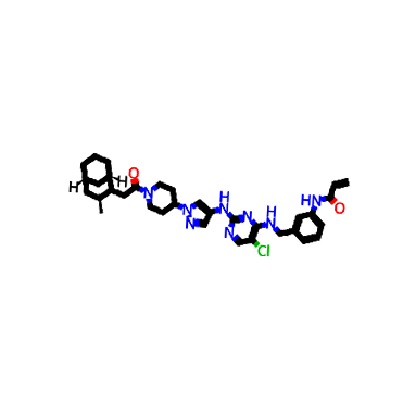 C=CC(=O)Nc1cccc(CNc2nc(Nc3cnn(C4CCN(C(=O)CC5[C@@H]6CCC[C@@H](C6)C[C@@H]5C)CC4)c3)ncc2Cl)c1